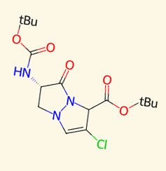 CC(C)(C)OC(=O)N[C@H]1CN2C=C(Cl)C(C(=O)OC(C)(C)C)N2C1=O